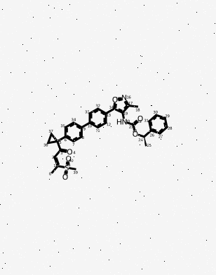 C/C(=C/C(=O)C1(c2ccc(-c3ccc(-c4onc(C)c4NC(=O)O[C@H](C)c4ccccc4)cc3)cc2)CC1)S(C)(=O)=O